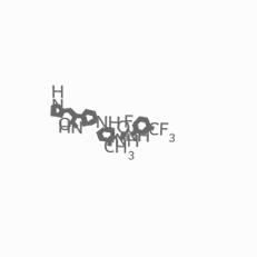 Cc1ccc(Nc2ccc3c(c2)NC(=O)/C3=C\c2ccc[nH]2)cc1NC(=O)Nc1cc(C(F)(F)F)ccc1F